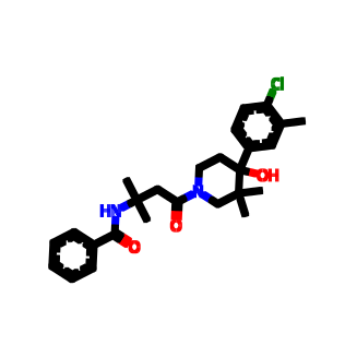 Cc1cc(C2(O)CCN(C(=O)CC(C)(C)NC(=O)c3ccccc3)CC2(C)C)ccc1Cl